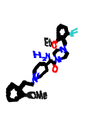 CCOc1cccc(F)c1CN1CCN(C(=O)[C@H](N)C2CCN(CCc3ccccc3OC)CC2)CC1